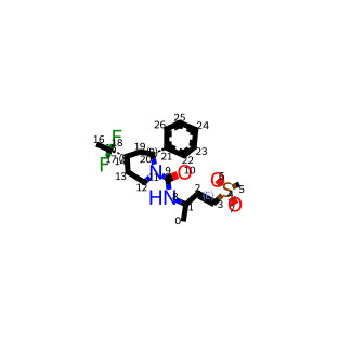 CC(/C=C/S(C)(=O)=O)NC(=O)N1CC[C@H](C(C)(F)F)C[C@@H]1c1ccccc1